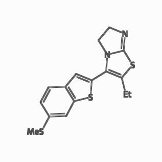 CCC1=C(c2cc3ccc(SC)cc3s2)N2CCN=C2S1